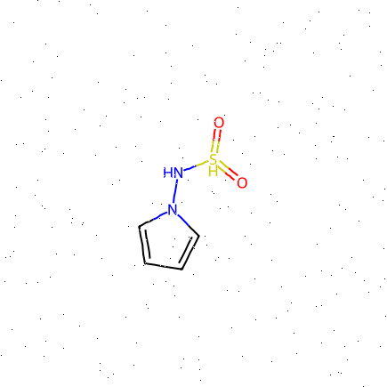 O=[SH](=O)Nn1cccc1